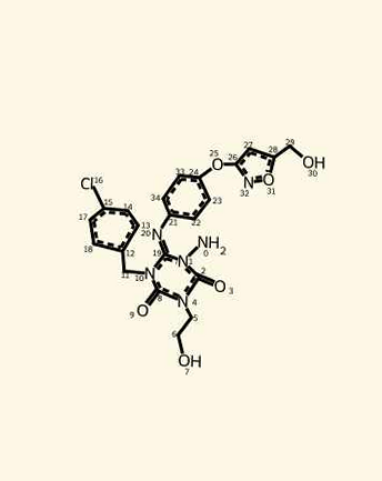 Nn1c(=O)n(CCO)c(=O)n(Cc2ccc(Cl)cc2)/c1=N/c1ccc(Oc2cc(CO)on2)cc1